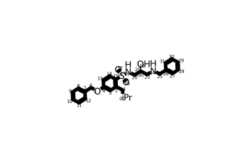 CC(C)Cc1cc(OCc2ccccc2)ccc1S(=O)(=O)NC[C@H](O)CNCc1ccccc1